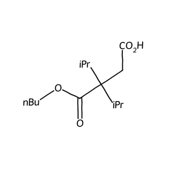 CCCCOC(=O)C(CC(=O)O)(C(C)C)C(C)C